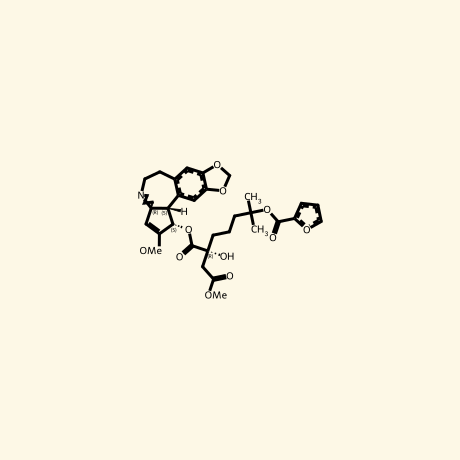 COC(=O)C[C@](O)(CCCC(C)(C)OC(=O)c1ccco1)C(=O)O[C@@H]1C(OC)=C[C@]23CCCN2CCc2cc4c(cc2[C@H]13)OCO4